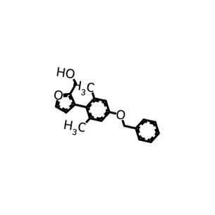 Cc1cc(OCc2ccccc2)cc(C)c1-c1ccoc1CO